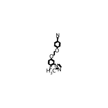 Cc1nccn1-c1cc(OCCOc2ccc(C#N)cc2)ccc1F